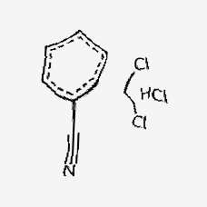 Cl.ClCCl.N#Cc1ccccc1